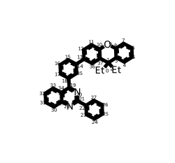 CCC1(CC)c2ccccc2Oc2ccc(-c3cccc(-c4nc(-c5ccccc5)nc5ccccc45)c3)cc21